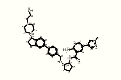 Cn1cc(-c2cnc(N)c(C(=O)N[C@H]3CCC[C@@H]3OCc3ccc(-c4ccc5c(c4)CC[C@H]5N4CCN(CCO)CC4)cc3)c2)cn1